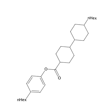 CCCCCCc1ccc(OC(=O)C2CCC(C3CCC(CCCCCC)CC3)CC2)cc1